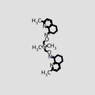 Cc1ccc2c(n1)/C(=N/OC[Si](C)(C)CO/N=C1\CCCc3ccc(C)nc31)CCC2